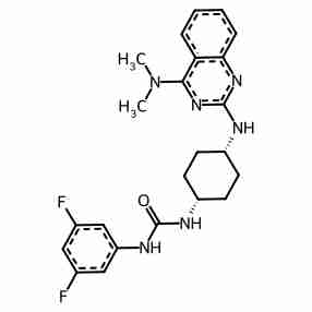 CN(C)c1nc(N[C@H]2CC[C@@H](NC(=O)Nc3cc(F)cc(F)c3)CC2)nc2ccccc12